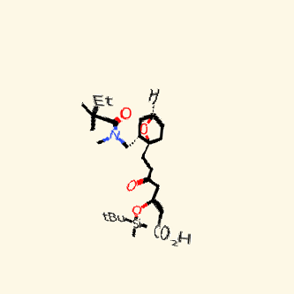 CCC(C)(C)C(=O)N(C)C[C@@H]1C[C@H]2CC[C@@]1(CCC(=O)CC(CC(=O)O)O[Si](C)(C)C(C)(C)C)O2